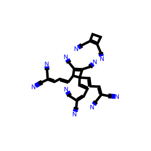 N#CC(C#N)=CC=CC1C(C#N)=C(C#N)C1(C=CC=C(C#N)C#N)C=CC=C(C#N)C#N.N#CC1=C(C#N)CC1